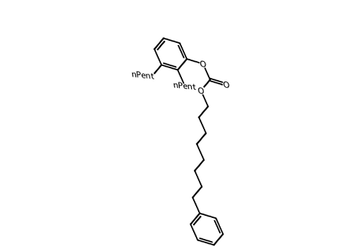 CCCCCc1cccc(OC(=O)OCCCCCCCCc2ccccc2)c1CCCCC